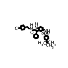 CC(C)(C)c1ccc(S(=O)(=O)Nc2ccc3[nH]c(C(=O)NCCc4ccc(Cl)cc4)c(-c4ccccc4)c3c2)cc1